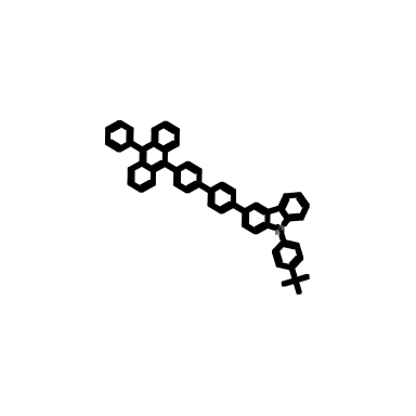 CC(C)(C)c1ccc(-n2c3ccccc3c3cc(-c4ccc(-c5ccc(-c6c7ccccc7c(-c7ccccc7)c7ccccc67)cc5)cc4)ccc32)cc1